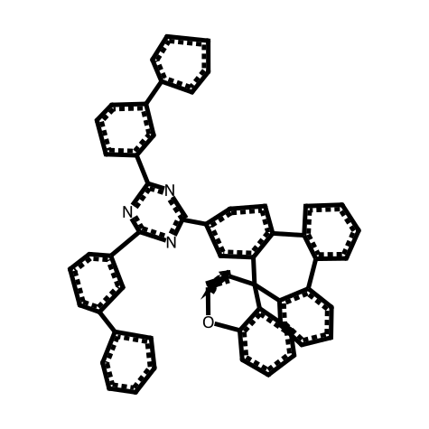 c1ccc(-c2cccc(-c3nc(-c4cccc(-c5ccccc5)c4)nc(-c4ccc5c(c4)C4(c6ccccc6Oc6ccccc64)c4ccccc4-c4ccccc4-5)n3)c2)cc1